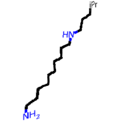 CC(C)CCCNCCCCCCCCCCN